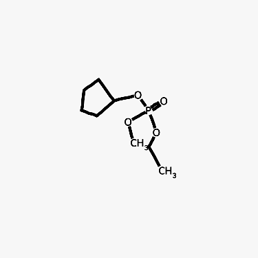 CCOP(=O)(OC)OC1CCCC1